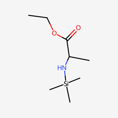 CCOC(=O)C(C)N[Si](C)(C)C